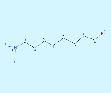 CN(C)CCCCCCCCBr